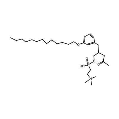 CCCCCCCCCCCCCOc1cccc(CC(COP(=O)(O)CC[N+](C)(C)C)CC(C)=O)c1